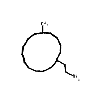 CC1CCCCCCCCCC(CCN)CCCC1